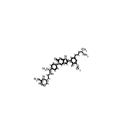 C[C@H](N)CCCc1cc(OC(F)(F)F)c(F)c(-c2cc3cn(-c4ccc([C@H](C)NCC[C@@H](CO)NC(=N)N)cc4)c(=O)nc3[nH]2)c1